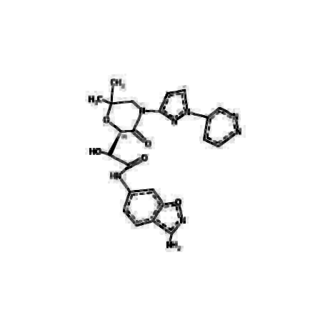 CC1(C)CN(c2ccn(-c3ccnnc3)n2)C(=O)[C@@H](C(O)C(=O)Nc2ccc3c(N)noc3c2)O1